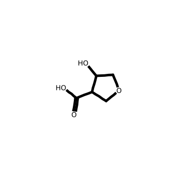 O=C(O)C1COCC1O